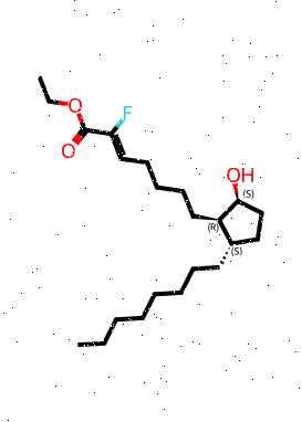 CCCCCCCC[C@H]1CC[C@H](O)[C@@H]1CCCCC=C(F)C(=O)OCC